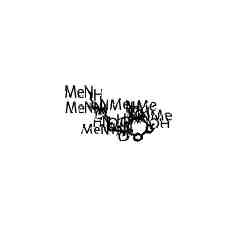 CNCCC[C@@H](CNC(=O)[C@H](CCCNC(=O)[C@H](CCCNC(=O)[C@@H]1Cc2cccc(c2)-c2ccc(O)c(c2)C[C@H](NC)C(=O)N[C@@H](C[C@@H](O)CNC)C(=O)N1)NC)NC)NC